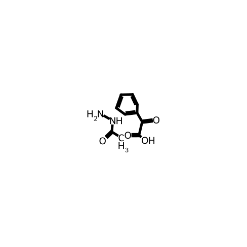 CC(=O)NN.O=C(O)C(=O)c1ccccc1